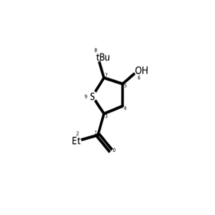 C=C(CC)C1CC(O)C(C(C)(C)C)S1